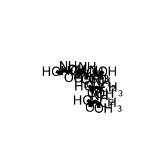 C[C@@H](N)C(=O)O.C[C@@H](O)[C@H](N)C(=O)O.C[C@@H](O)[C@H](N)C(=O)O.C[C@@H](O)[C@H](N)C(=O)O.N[C@@H](CO)C(=O)O